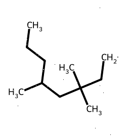 [CH2]CC(C)(C)CC(C)CCC